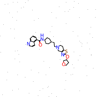 O=C(N[C@H]1CC[C@H](CCN2CCc3sc(O[C@H]4CCOC4)nc3C2)CC1)c1cccc2ncccc12